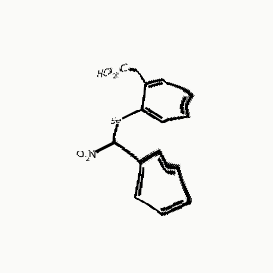 O=C(O)c1ccccc1[Se]C(c1ccccc1)[N+](=O)[O-]